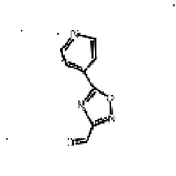 O=Cc1noc(-c2ccncc2)n1